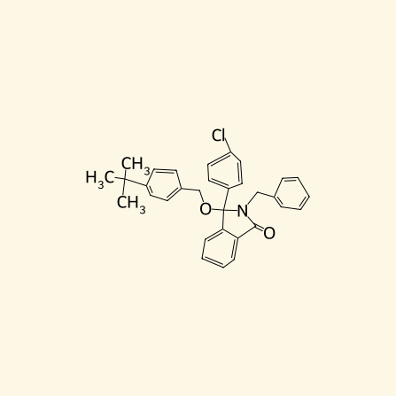 CC(C)(C)c1ccc(COC2(c3ccc(Cl)cc3)c3ccccc3C(=O)N2Cc2ccccc2)cc1